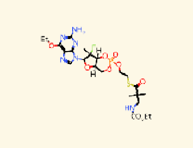 CCOC(=O)NCC(C)(C)C(=O)SCCO[P@@]1(=O)OC[C@H]2O[C@@H](n3cnc4c(OCC)nc(N)nc43)[C@](C)(F)[C@@H]2O1